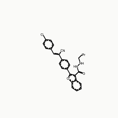 CC(C)CNNC(=O)c1c(-c2ccc(C(C#N)=Cc3ccc(Cl)cc3)cc2)oc2ccccc12